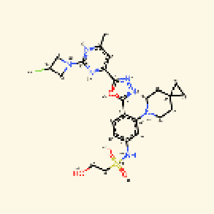 Cc1cc(-c2nnc(-c3ccc(NS(=O)(=O)CCO)cc3N3CCC4(CC3)CC4)o2)nc(N2CC(F)C2)n1